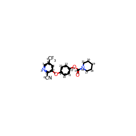 N#Cc1ncc(C(F)(F)F)cc1Oc1ccc(OC(=O)N2CCCCC2)cc1